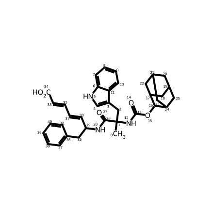 CC(Cc1c[nH]c2ccccc12)(NC(=O)OC1C2CC3CC(C2)CC1C3)C(=O)NC(/C=C/C=C/C(=O)O)Cc1ccccc1